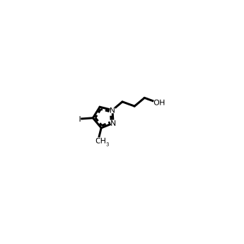 Cc1nn(CCCO)cc1I